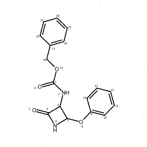 O=C(NC1C(=O)NC1Oc1ccccc1)OCc1ccccc1